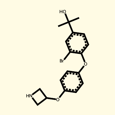 CC(C)(O)c1ccc(Oc2ccc(OC3CNC3)cc2)c(Br)c1